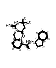 CCC1(CC)CC(=O)N(Cc2cccc(C(=O)N[C@H]3CCc4ccccc43)n2)C(=N)N1